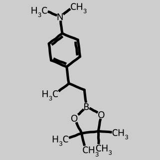 CC(CB1OC(C)(C)C(C)(C)O1)c1ccc(N(C)C)cc1